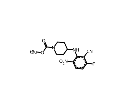 CC(C)(C)OC(=O)N1CCC(Nc2c([N+](=O)[O-])ccc(F)c2C#N)CC1